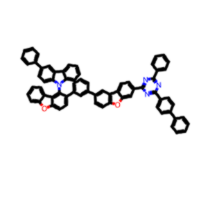 c1ccc(-c2ccc(-c3nc(-c4ccccc4)nc(-c4ccc5c(c4)oc4ccc(-c6cccc(-c7ccc8oc9ccccc9c8c7-n7c8ccccc8c8cc(-c9ccccc9)ccc87)c6)cc45)n3)cc2)cc1